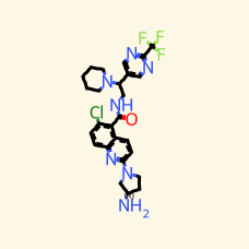 N[C@@H]1CCN(c2ccc3c(C(=O)NCC(c4cnc(C(F)(F)F)nc4)N4CCCCC4)c(Cl)ccc3n2)C1